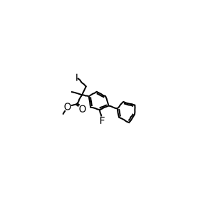 COC(=O)C(C)(CI)c1ccc(-c2ccccc2)c(F)c1